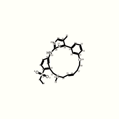 CCS(=O)(=O)c1ccc2cc1CN(C)C/C=C/CCOc1cccc(c1)-c1nc(ncc1C)N2